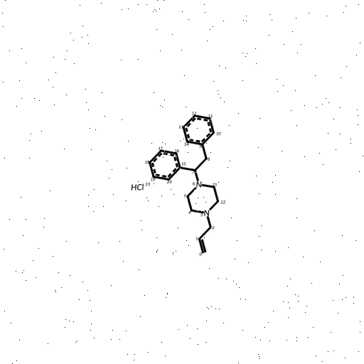 C=CCN1CCN(C(Cc2ccccc2)c2ccccc2)CC1.Cl